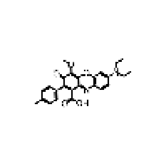 CCN(CC)c1ccc2nc3c(C(=O)O)c(-c4ccc(C)cc4)c(=O)c(OC)c-3oc2c1